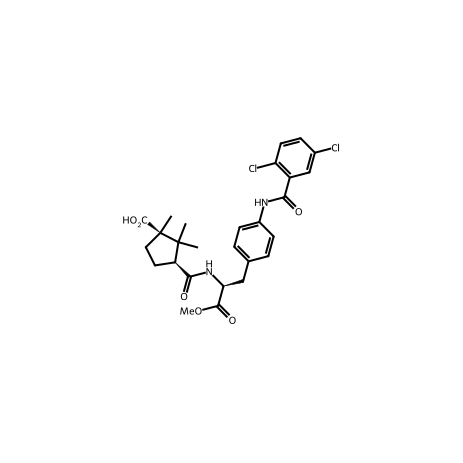 COC(=O)[C@H](Cc1ccc(NC(=O)c2cc(Cl)ccc2Cl)cc1)NC(=O)[C@H]1CC[C@@](C)(C(=O)O)C1(C)C